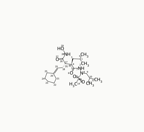 CC(C)C[C@@H](C(=O)NN(CC(C)C)S(C)(=O)=O)[C@H](CC=C1CCCCC1)C(=O)NO